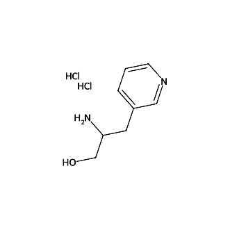 Cl.Cl.NC(CO)Cc1cccnc1